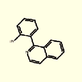 CC(C)c1ccccc1-c1nccc2ccccc12